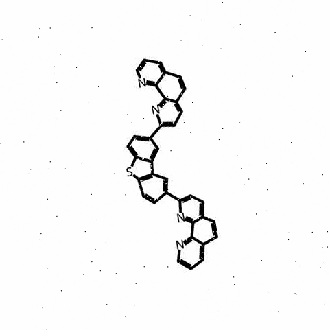 c1cnc2c(c1)ccc1ccc(-c3ccc4sc5ccc(-c6ccc7ccc8cccnc8c7n6)cc5c4c3)nc12